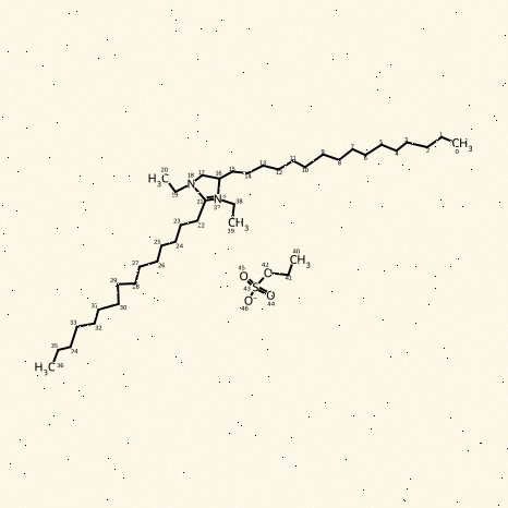 CCCCCCCCCCCCCCCCC1CN(CC)C(CCCCCCCCCCCCCCC)=[N+]1CC.CCOS(=O)(=O)[O-]